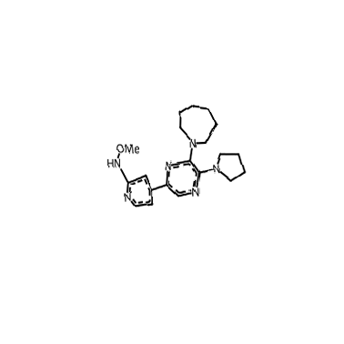 CONc1cc(-c2cnc(N3CCCC3)c(N3CCCCCC3)n2)ccn1